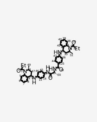 CCC(=O)N1c2ccccc2[C@H](Nc2ccc(NC(=O)[C@@H](C)NC(=O)c3ccc(N[C@@H]4C[C@H](C)N(C(=O)CC)c5ccccc54)cc3)cc2)C[C@@H]1C